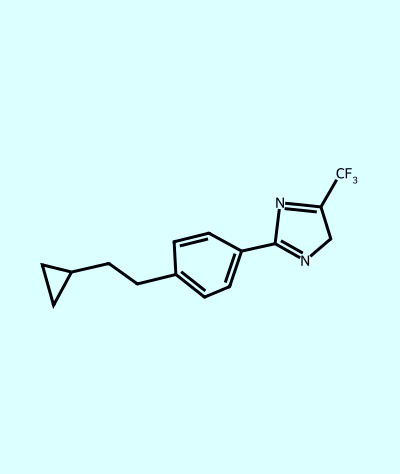 FC(F)(F)C1=NC(c2ccc(CCC3CC3)cc2)=NC1